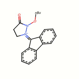 CCCCON1C(=O)CC[N+]1=C1c2ccccc2-c2ccccc21